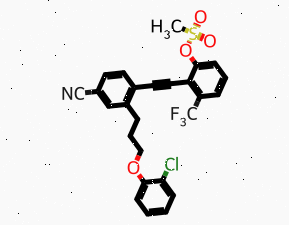 CS(=O)(=O)Oc1cccc(C(F)(F)F)c1C#Cc1ccc(C#N)cc1CCCOc1ccccc1Cl